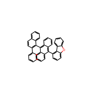 c1ccc(-c2ccc3ccccc3c2-c2c3ccccc3c(-c3cccc4oc5ccccc5c34)c3ccccc23)cc1